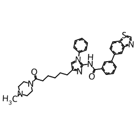 CN1CCN(C(=O)CCCCCc2cn(-c3ccccc3)c(NC(=O)c3cccc(-c4ccc5scnc5c4)c3)n2)CC1